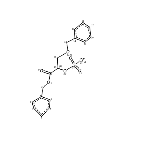 O=C(OCc1ccccc1)[C@@H](COCc1ccccc1)OS(=O)(=O)C(F)(F)F